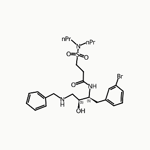 CCCN(CCC)S(=O)(=O)CCC(=O)N[C@@H](Cc1cccc(Br)c1)[C@@H](O)CNCc1ccccc1